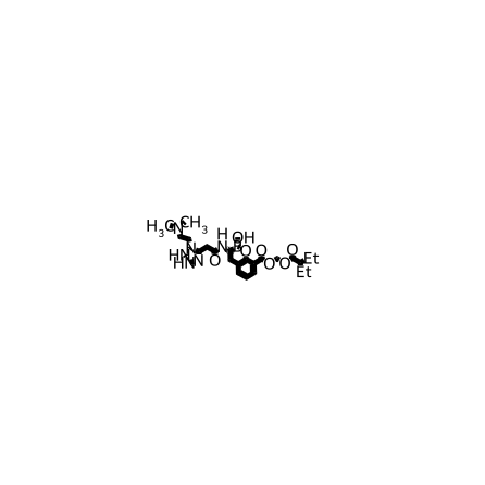 CCC(CC)C(=O)OCOC(=O)c1cccc2c1OB(O)[C@@H](NC(=O)CC1=NNNN1CCN(C)C)C2